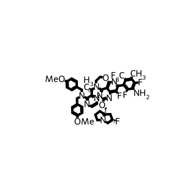 COc1ccc(CN(Cc2ccc(OC)cc2)c2nccnc2[C@@H](C)N2CCOc3nc(-c4c(F)c(N)c(F)c(C)c4C(F)(F)F)c(F)c4nc(OC[C@@]56CCCN5C[C@H](F)C6)nc2c34)cc1